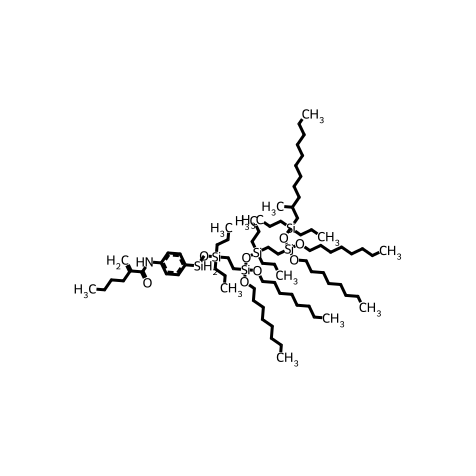 C=C(CCCC)C(=O)Nc1ccc([SiH2]O[Si](CCC)(CCC)CC[Si](OCCCCCCCC)(OCCCCCCCC)O[Si](CCC)(CCC)CC[Si](OCCCCCCCC)(OCCCCCCCC)O[Si](CCC)(CCC)CC(C)CCCCCCCCC)cc1